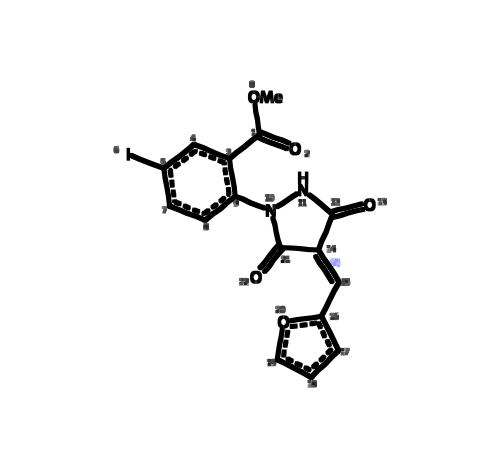 COC(=O)c1cc(I)ccc1N1NC(=O)/C(=C/c2ccco2)C1=O